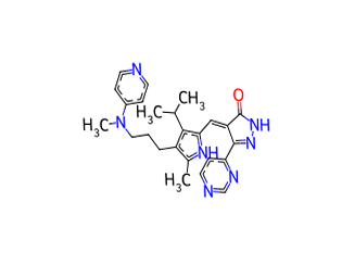 Cc1[nH]c(/C=C2/C(=O)NN=C2c2ccncn2)c(C(C)C)c1CCCN(C)c1ccncc1